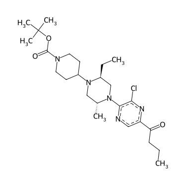 CCCC(=O)c1cnc(N2C[C@H](CC)N(C3CCN(C(=O)OC(C)(C)C)CC3)C[C@H]2C)c(Cl)n1